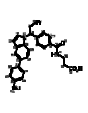 CC(C)CC(c1ccc(C(=O)NCCC(=O)O)nc1)n1ccc2cc(-c3ccc(C(C)(C)C)cc3)ccc21